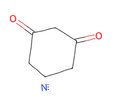 O=C1CCCC(=O)C1.[N]